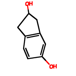 Oc1ccc2c(c1)CC(O)C2